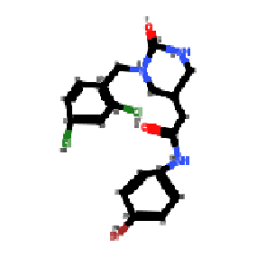 O=C(CC1CNC(=O)N(Cc2ccc(Cl)cc2Cl)C1)Nc1ccc(Br)cc1